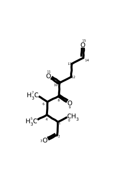 CC([C]=O)C(C)C(C)C(=O)C(=O)CCC=O